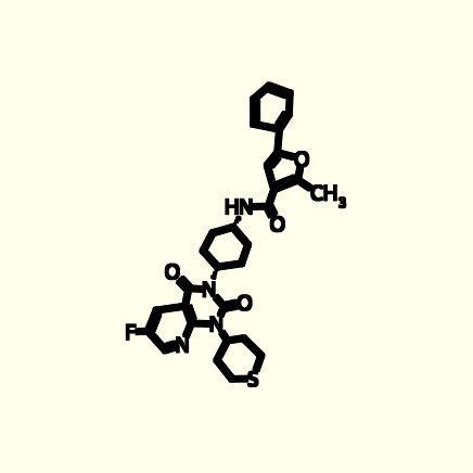 Cc1oc(-c2ccccc2)cc1C(=O)N[C@H]1CC[C@@H](n2c(=O)c3cc(F)cnc3n(C3CCSCC3)c2=O)CC1